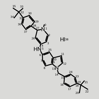 CN1C=CC(Nc2ccc3c(ccn3Cc3ccc(C(C)(C)C)cc3)c2)=CC1c1ccc(C(C)(C)C)cc1.I